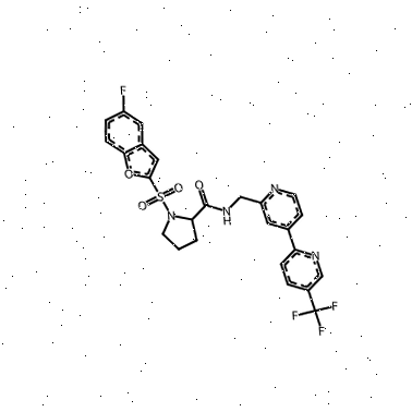 O=C(NCc1cc(-c2ccc(C(F)(F)F)cn2)ccn1)C1CCCN1S(=O)(=O)c1cc2cc(F)ccc2o1